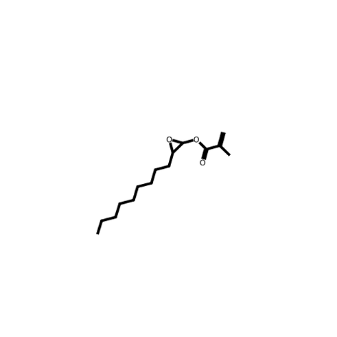 C=C(C)C(=O)OC1OC1CCCCCCCCC